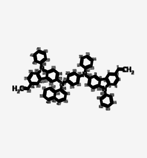 C=Cc1ccc2c(c1)c1cc(N(c3ccccc3)c3ccc(N(c4ccc5c(c4)c4cc(C=C)ccc4n5-c4ccccc4)c4cccc5ccccc45)cc3)ccc1n2-c1ccccc1